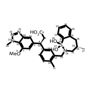 COc1cc([C@@H](CC(=O)O)c2ccc(C)c(CN3C[C@@H](C)Cc4ccccc4S3(O)O)c2)cc2nnn(C)c12